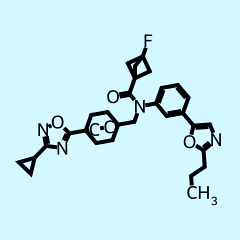 CCCc1ncc(-c2cccc(N(CC34CCC(c5nc(C6CC6)no5)(CC3)CC4)C(=O)C34CC(F)(C3)C4)c2)o1